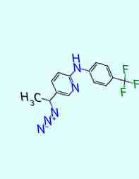 CC(N=[N+]=[N-])c1ccc(Nc2ccc(C(F)(F)F)cc2)nc1